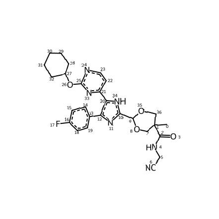 CC1(C(=O)NCC#N)COC(c2nc(-c3ccc(F)cc3)c(-c3ccnc(OC4CCCCC4)n3)[nH]2)OC1